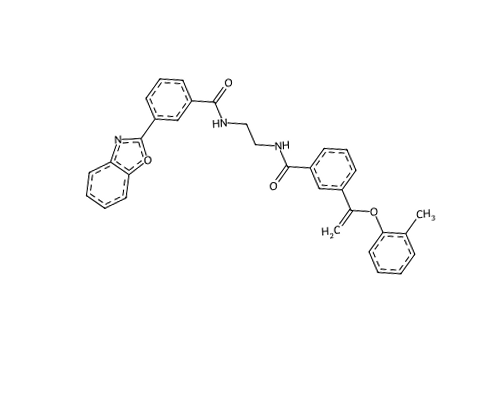 C=C(Oc1ccccc1C)c1cccc(C(=O)NCCNC(=O)c2cccc(-c3nc4ccccc4o3)c2)c1